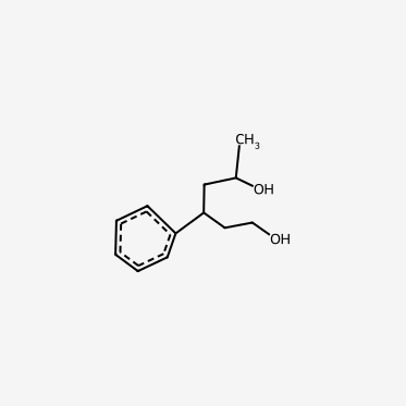 CC(O)CC(CCO)c1ccccc1